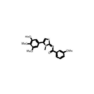 COc1cccc(C(=O)/N=c2/scc(-c3cc(OC)c(OC)c(OC)c3)n2C)c1